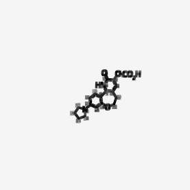 O=C(O)Oc1cc2c([nH]c1=O)-c1ccc(N3CCCC3)cc1OCC2